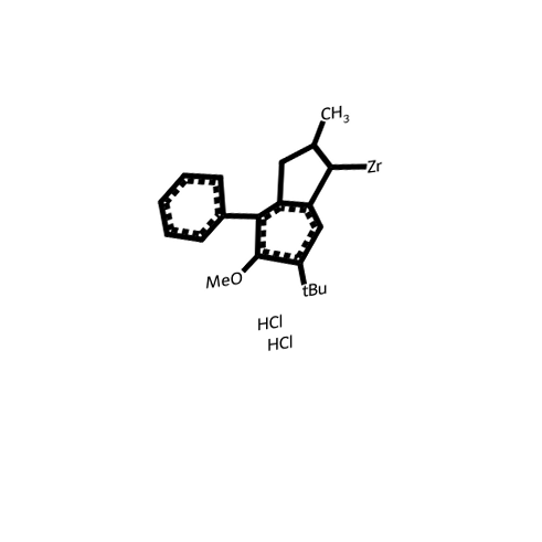 COc1c(C(C)(C)C)cc2c(c1-c1ccccc1)CC(C)[CH]2[Zr].Cl.Cl